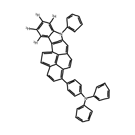 [2H]c1c([2H])c([2H])c2c(c1[2H])c1c3ccc4ccc(-c5ccc(N(c6ccccc6)c6ccccc6)cc5)c5ccc(cc1n2-c1ccccc1)c3c45